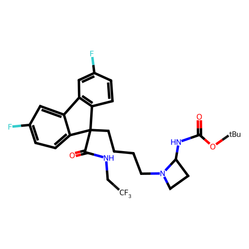 CC(C)(C)OC(=O)NC1CCN1CCCCC1(C(=O)NCC(F)(F)F)c2ccc(F)cc2-c2cc(F)ccc21